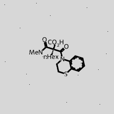 CCCCCC[C@](C(=O)O)(C(=O)NC)C(=O)N1CCSc2ccccc21